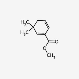 COC(=O)C1=CC(C)(C)CC=C1